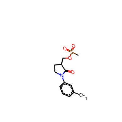 CS(=O)(=O)OCC1CCN(c2cccc(C(F)(F)F)c2)C1=O